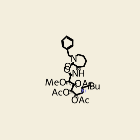 CCC(C)/C=C/[C@@H](OC(C)=O)[C@H](OC(C)=O)[C@@H](OC(C)=O)[C@@H](OC)C(=O)N[C@H]1CCCCN(Cc2ccccc2)C1=O